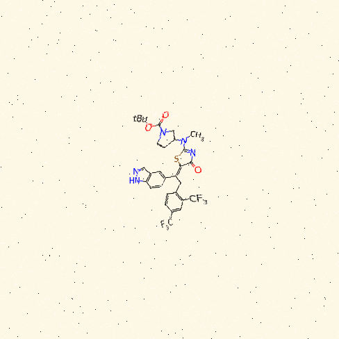 CN(C1=NC(=O)C(=C(Cc2ccc(C(F)(F)F)cc2C(F)(F)F)c2ccc3[nH]ncc3c2)S1)C1CCN(C(=O)OC(C)(C)C)C1